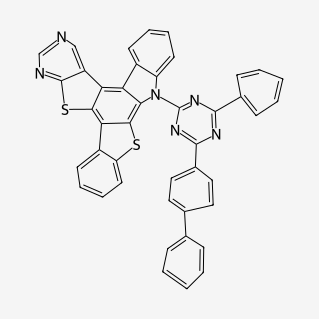 c1ccc(-c2ccc(-c3nc(-c4ccccc4)nc(-n4c5ccccc5c5c6c7cncnc7sc6c6c7ccccc7sc6c54)n3)cc2)cc1